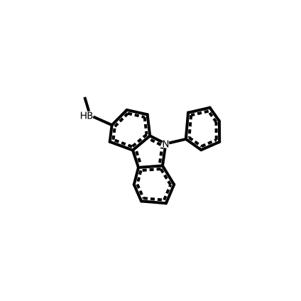 CBc1ccc2c(c1)c1ccccc1n2-c1ccccc1